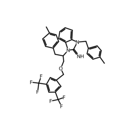 Cc1ccc(CC(COCc2cc(C(F)(F)F)cc(C(F)(F)F)c2)n2c(=N)n(Cc3ccc(C)cc3)c3ccccc32)cc1